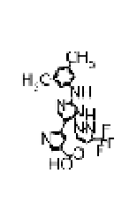 Cc1cc(C)cc(Nc2ncc(-c3cncc(C(=O)O)c3)c(N3C=CC(C(F)(F)F)N3)n2)c1